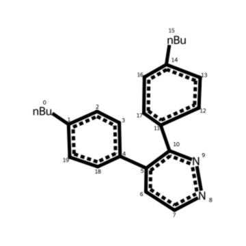 CCCCc1ccc(-c2ccnnc2-c2ccc(CCCC)cc2)cc1